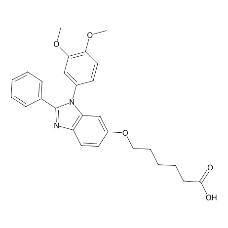 COc1ccc(-n2c(-c3ccccc3)nc3ccc(OCCCCCC(=O)O)cc32)cc1OC